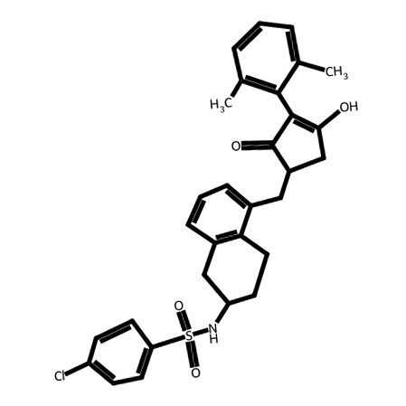 Cc1cccc(C)c1C1=C(O)CC(Cc2cccc3c2CCC(NS(=O)(=O)c2ccc(Cl)cc2)C3)C1=O